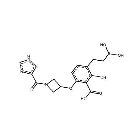 O=C(O)c1c(OC2CN(C(=O)c3nc[nH]n3)C2)ccc(CCB(O)O)c1O